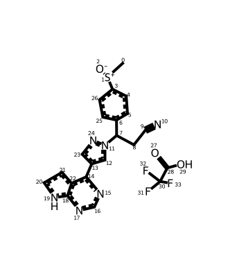 C[S+]([O-])c1ccc(C(CC#N)n2cc(-c3ncnc4[nH]ccc34)cn2)cc1.O=C(O)C(F)(F)F